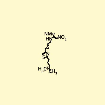 CNC(=C[N+](=O)[O-])NCCSCc1csc(CCCN(C)C)n1